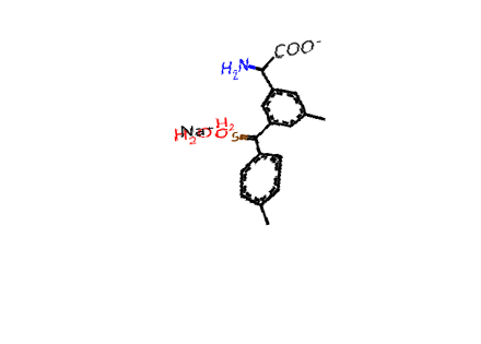 Cc1ccc(C(=S)c2cc(C)cc(C(N)C(=O)[O-])c2)cc1.O.O.[Na+]